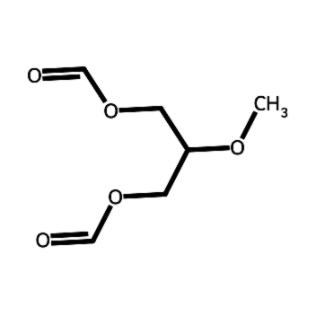 COC(COC=O)COC=O